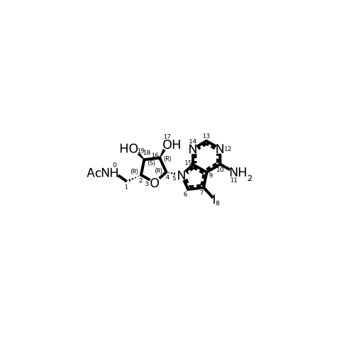 CC(=O)NC[C@H]1O[C@@H](n2cc(I)c3c(N)ncnc32)[C@H](O)[C@@H]1O